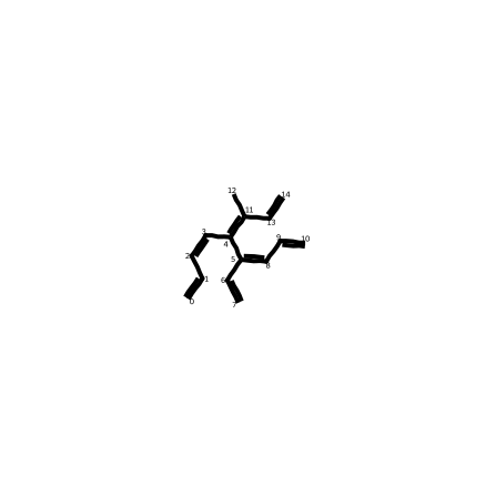 C=C\C=C/C(C(/C=C)=C\C=C)=C(\C)C=C